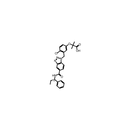 CC[C@@H](NC(=O)c1ccc2c(c1)nnn2Cc1cc(OC(C)(C)C(=O)O)ccc1Cl)c1ccccc1